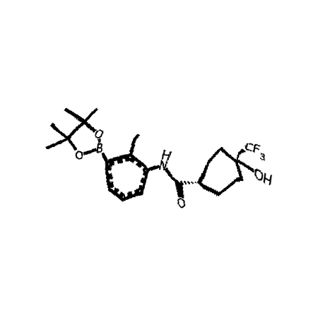 Cc1c(NC(=O)[C@H]2CC[C@](O)(C(F)(F)F)CC2)cccc1B1OC(C)(C)C(C)(C)O1